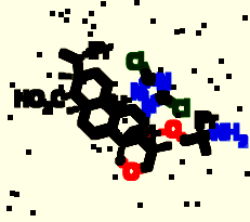 CC(C)[C@@H](C)[C@@]1(C)CC[C@]2(C)[C@H]3CC[C@@H]4[C@@]5(COC[C@@]4(C)[C@@H](OC[C@](C)(N)C(C)C)[C@H](n4nc(Cl)nc4Cl)C5)C3=CC[C@@]2(C)[C@@H]1C(=O)O